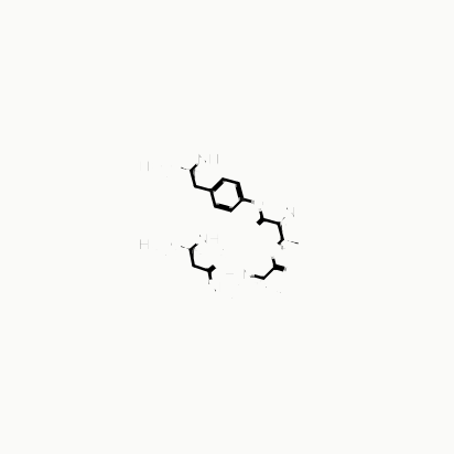 CC(C)[C@H](N)C(=O)O[C@H](C)[C@H](N)C(=O)Oc1ccc(C[C@H](N)C(=O)O)cc1.NC(=O)C[C@H](N)C(=O)O